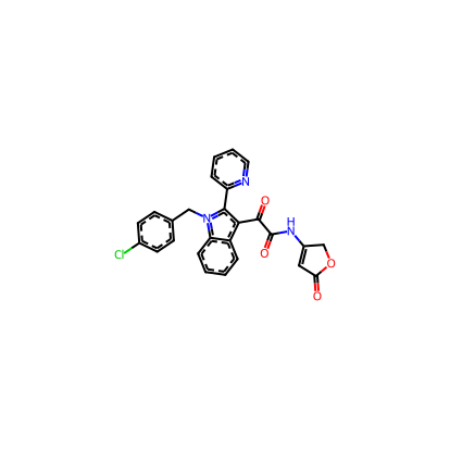 O=C1C=C(NC(=O)C(=O)c2c(-c3ccccn3)n(Cc3ccc(Cl)cc3)c3ccccc23)CO1